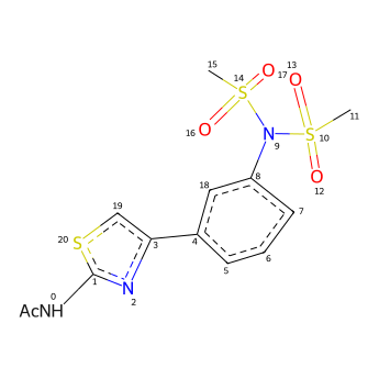 CC(=O)Nc1nc(-c2cccc(N(S(C)(=O)=O)S(C)(=O)=O)c2)cs1